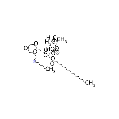 CCCCC/C=C\CC1OC1CC1OC1CC1OC1CCCC(=O)OC(COC(=O)CCCCCCCCCCCCCCC)COP(=O)(O)OCC[N+](C)(C)C